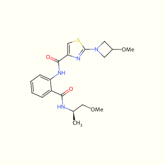 COC[C@@H](C)NC(=O)c1ccccc1NC(=O)c1csc(N2CC(OC)C2)n1